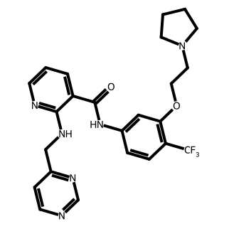 O=C(Nc1ccc(C(F)(F)F)c(OCCN2CCCC2)c1)c1cccnc1NCc1ccncn1